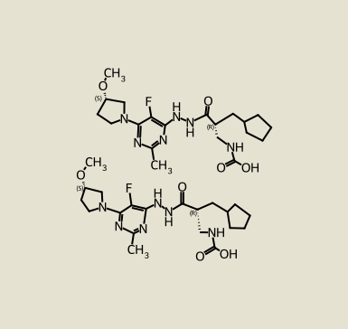 CO[C@H]1CCN(c2nc(C)nc(NNC(=O)[C@@H](CNC(=O)O)CC3CCCC3)c2F)C1.CO[C@H]1CCN(c2nc(C)nc(NNC(=O)[C@@H](CNC(=O)O)CC3CCCC3)c2F)C1